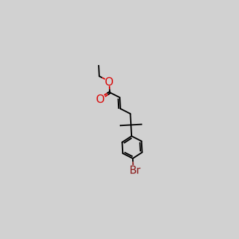 CCOC(=O)/C=C/CC(C)(C)c1ccc(Br)cc1